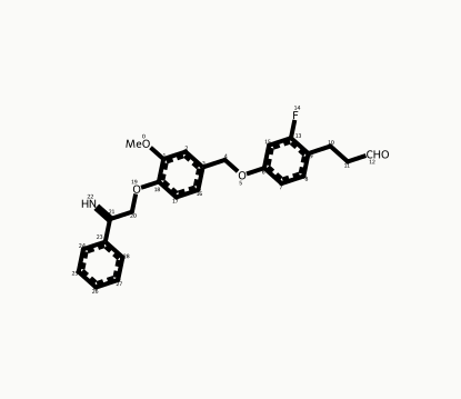 COc1cc(COc2ccc(CCC=O)c(F)c2)ccc1OCC(=N)c1ccccc1